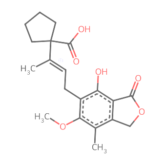 COc1c(C)c2c(c(O)c1C/C=C(\C)C1(C(=O)O)CCCC1)C(=O)OC2